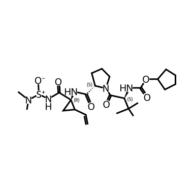 C=CC1C[C@]1(NC(=O)[C@@H]1CCCN1C(=O)[C@@H](NC(=O)OC1CCCC1)C(C)(C)C)C(=O)N[S+]([O-])N(C)C